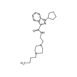 CCCCN1CCN(CCNC(=O)c2nn(C3CCCC3)c3ccccc23)CC1